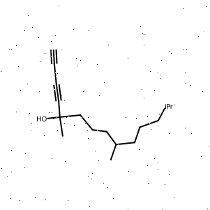 C#CC#CC(C)(O)CCCC(C)CCCC(C)C